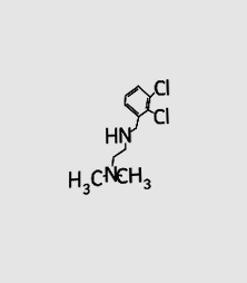 CN(C)CCNCc1cccc(Cl)c1Cl